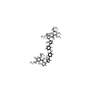 COC(=O)N[C@H](C(=O)N1C[Si](C)(C)C[C@H]1c1ncc(-c2cccc(Oc3ccc(-c4cnc([C@@H]5CCCN5C(=O)[C@@H](NC(=O)OC)C(C)OC)[nH]4)cc3)c2)[nH]1)C(C)C